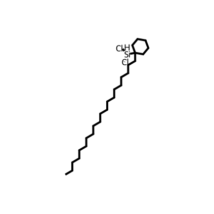 CCCCCCCCCCCCCCCCCCCCC1([SiH](Cl)Cl)CCCCC1